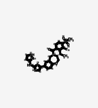 CCc1c(C(=O)N2CCOc3ccc(-c4cnc(Nc5cc[nH]n5)s4)cc3C2)ccc(S(C)(=O)=O)c1F